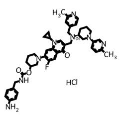 Cc1ccc(N2CCC[C@H](N(Cc3ccnc(C)c3)Cc3cn(C4CC4)c4cc(N5CCCC(OC(=O)NCc6ccc(N)cc6)C5)c(F)cc4c3=O)C2)cn1.Cl